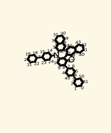 c1ccc(-c2ccc(-c3ccc(N(c4ccc(-c5ccccc5)cc4)c4ccc5ccccc5c4)c4c3oc3c5ccccc5ccc34)cc2)cc1